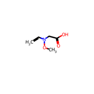 C=CN(CC(=O)O)OC